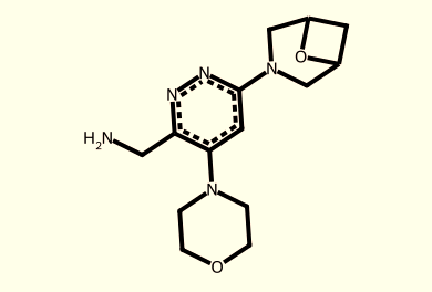 NCc1nnc(N2CC3CC(C2)O3)cc1N1CCOCC1